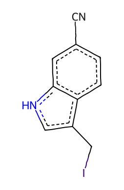 N#Cc1ccc2c(CI)c[nH]c2c1